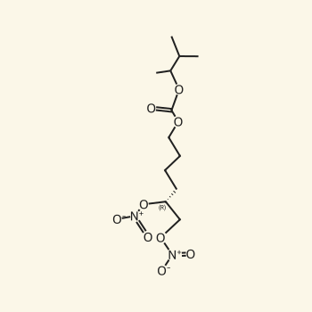 CC(C)C(C)OC(=O)OCCCC[C@H](CO[N+](=O)[O-])O[N+](=O)[O-]